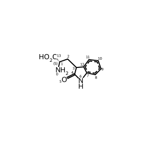 N[C@@H](CC1C(=O)Nc2ccccc21)C(=O)O